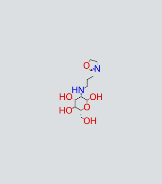 C1=NCCO1.CCCN[C@H]1C(O)O[C@H](CO)[C@@H](O)[C@@H]1O